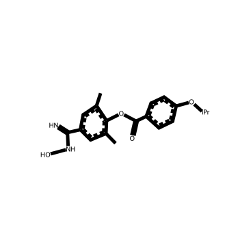 Cc1cc(C(=N)NO)cc(C)c1OC(=O)c1ccc(OC(C)C)cc1